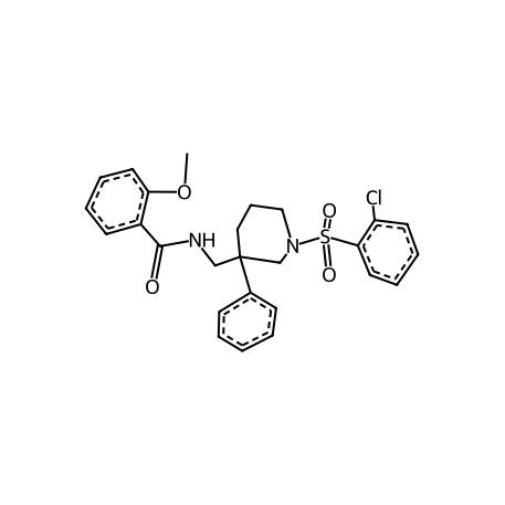 COc1ccccc1C(=O)NCC1(c2ccccc2)CCCN(S(=O)(=O)c2ccccc2Cl)C1